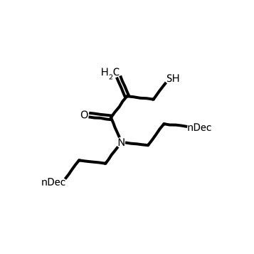 C=C(CS)C(=O)N(CCCCCCCCCCCC)CCCCCCCCCCCC